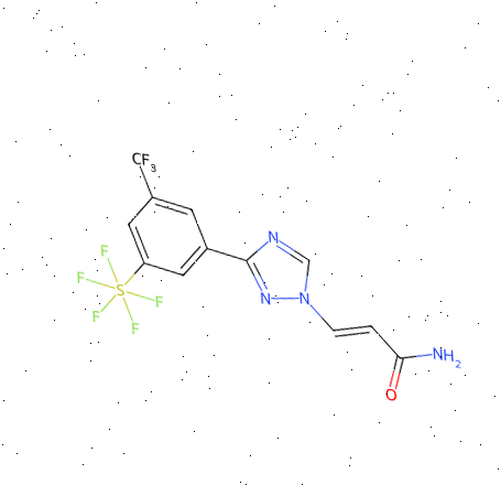 NC(=O)/C=C/n1cnc(-c2cc(C(F)(F)F)cc(S(F)(F)(F)(F)F)c2)n1